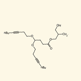 [CH2]C(CO)COC(=O)CCC(OCCC#CCCCC)OCCC#CCCCC